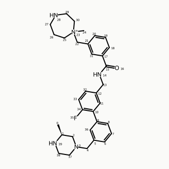 C[C@H]1CN(Cc2cccc(-c3cc(CNC(=O)c4cccc(C[N+]5(C)CCCNCC5)c4)ccc3F)c2)CCN1